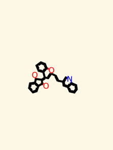 O=C1C(=C2C=C(C=Cc3cnc4ccccc4c3)Oc3ccccc32)C(=O)c2ccccc21